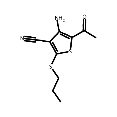 CCCSc1sc(C(C)=O)c(N)c1C#N